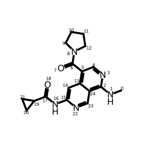 CNc1ncc(C(=O)N2CCCC2)c2cc(NC(=O)C3CC3)ncc12